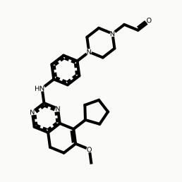 COC1=C(C2CCCC2)c2nc(Nc3ccc(N4CCN(CC=O)CC4)cc3)ncc2CC1